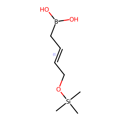 C[Si](C)(C)OC/C=C/CB(O)O